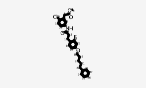 COC(=O)Cc1cc(NC(=O)CCc2ccc(OCCCCCc3ccccc3)cc2F)ccc1Cl